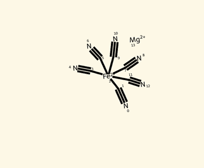 N#[C][Fe-2]([C]#N)([C]#N)([C]#N)([C]#N)[C]#N.[Mg+2]